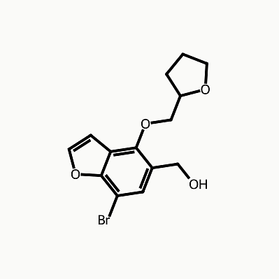 OCc1cc(Br)c2occc2c1OCC1CCCO1